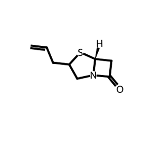 C=CCC1CN2C(=O)C[C@H]2S1